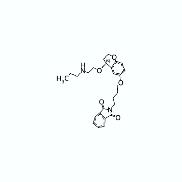 CCCNCCO[C@H]1CCOc2ccc(OCCCCN3C(=O)c4ccccc4C3=O)cc21